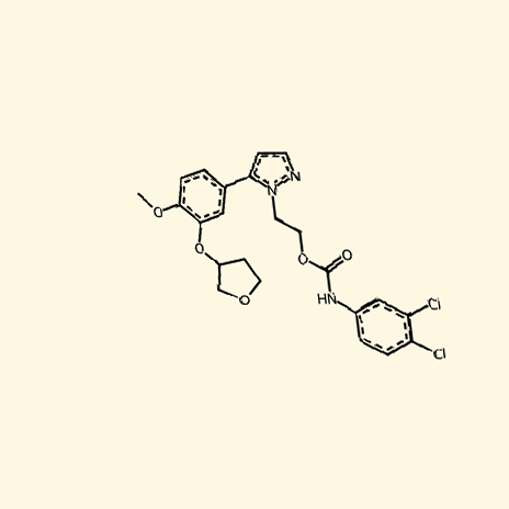 COc1ccc(-c2ccnn2CCOC(=O)Nc2ccc(Cl)c(Cl)c2)cc1OC1CCOC1